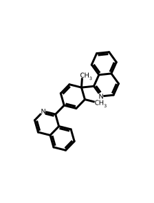 CC1C=C(c2nccc3ccccc23)C=CC1(C)c1nccc2ccccc12